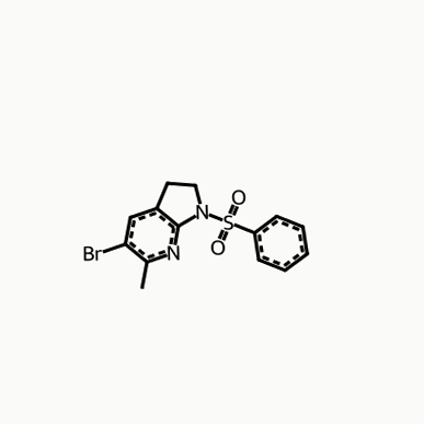 Cc1nc2c(cc1Br)CCN2S(=O)(=O)c1ccccc1